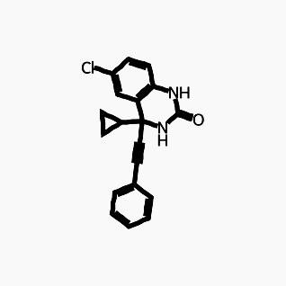 O=C1Nc2ccc(Cl)cc2C(C#Cc2ccccc2)(C2CC2)N1